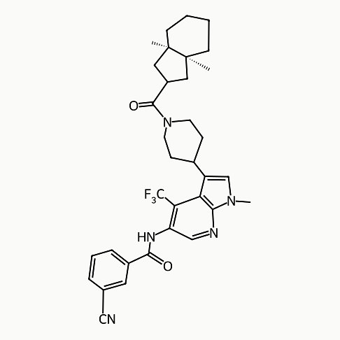 Cn1cc(C2CCN(C(=O)C3C[C@]4(C)CCCC[C@]4(C)C3)CC2)c2c(C(F)(F)F)c(NC(=O)c3cccc(C#N)c3)cnc21